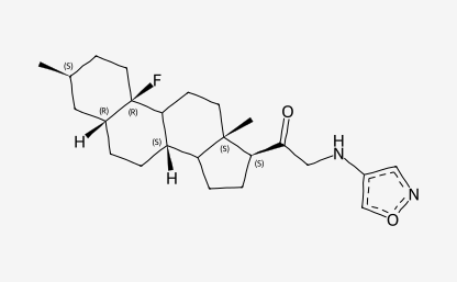 C[C@H]1CC[C@]2(F)C3CC[C@@]4(C)C(CC[C@@H]4C(=O)CNc4cnoc4)[C@@H]3CC[C@@H]2C1